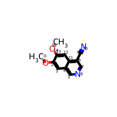 COc1cc2cncc(C#N)c2cc1OC